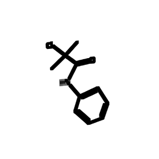 CC(C)(Cl)C(=O)Nc1ccccc1